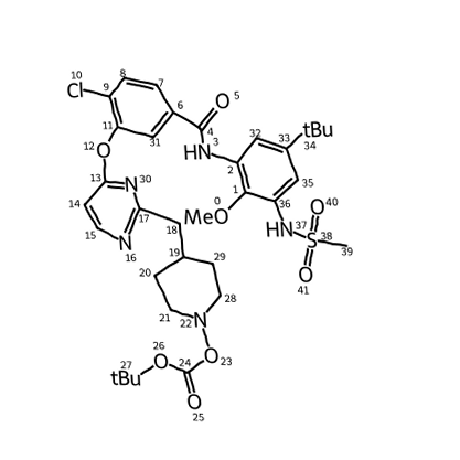 COc1c(NC(=O)c2ccc(Cl)c(Oc3ccnc(CC4CCN(OC(=O)OC(C)(C)C)CC4)n3)c2)cc(C(C)(C)C)cc1NS(C)(=O)=O